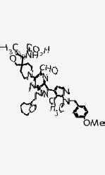 COc1ccc(CN(C)c2nccc(-c3nn(C4CCCCO4)c4nc(N5CCC6(CC5)CO[C@@H](C)[C@H]6NC(=O)O)c(C=O)nc34)c2Cl)cc1